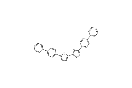 c1ccc(-c2ccc(-c3ccc(-c4ccc(-c5ccc(-c6ccccc6)cc5)s4)s3)cc2)cc1